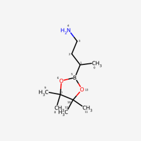 CC(CCN)B1OC(C)(C)C(C)(C)O1